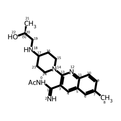 CC(=O)NC(=N)c1cc2cc(C)ccc2nc1N1CCC(NC[C@H](C)O)CC1